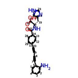 Nc1ccccc1C#CC#Cc1ccc(C(=O)N[C@@H](Cc2c[nH]cn2)C(=O)O)cc1